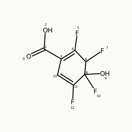 O=C(O)C1=C(F)C(F)C(O)(F)C(F)=C1